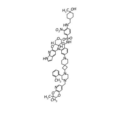 Cc1ccccc1[C@@H]1CN(Cc2cnc3c(c2)OCC(C)(C)O3)CCN1C1CC2(CCN(c3ccc(C(=O)NS(=O)(=O)c4ccc(NCC5CCC(C)(O)CC5)c([N+](=O)[O-])c4)c(N4c5cc6cc[nH]c6nc5O[C@H]5COCC[C@@H]54)c3)CC2)C1